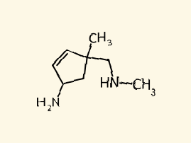 CNCC1(C)C=CC(N)C1